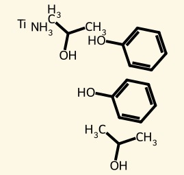 CC(C)O.CC(C)O.N.Oc1ccccc1.Oc1ccccc1.[Ti]